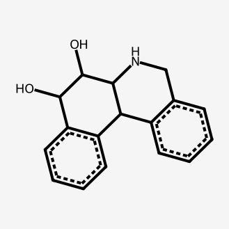 OC1c2ccccc2C2c3ccccc3CNC2C1O